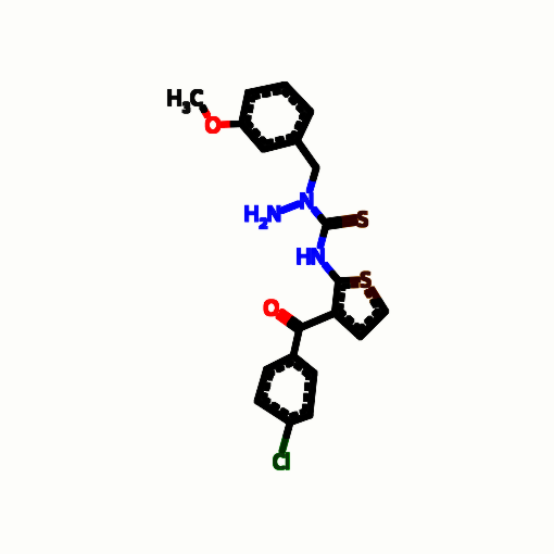 COc1cccc(CN(N)C(=S)Nc2sccc2C(=O)c2ccc(Cl)cc2)c1